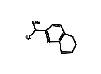 CNC(C)c1ccc2c(n1)C=CCC2